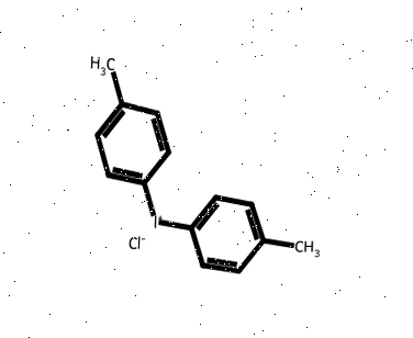 Cc1ccc([I+]c2ccc(C)cc2)cc1.[Cl-]